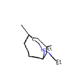 CC[N+]1(CC)CCC2(C)CCC1C(C)C2